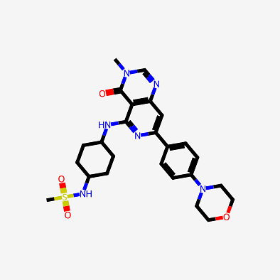 Cn1cnc2cc(-c3ccc(N4CCOCC4)cc3)nc(NC3CCC(NS(C)(=O)=O)CC3)c2c1=O